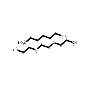 NCCCCCC(=O)O.OCCOCCOCCO